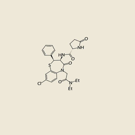 CCN(CC)C(=O)CN1C(=O)[C@H](NC(=O)[C@@H]2CCC(=O)N2)[C@H](c2ccccc2)Sc2cc(Cl)ccc21